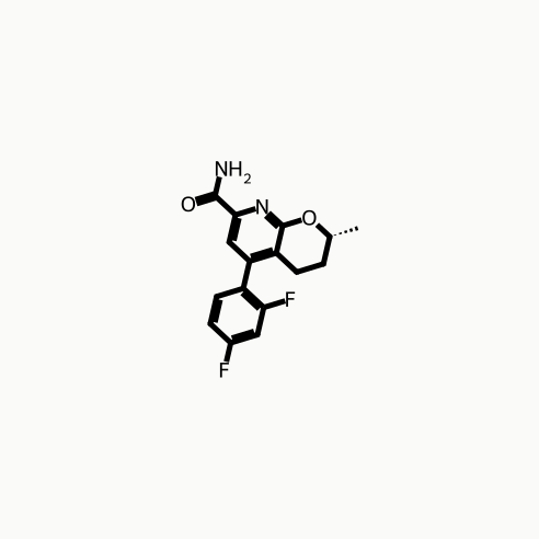 C[C@@H]1CCc2c(-c3ccc(F)cc3F)cc(C(N)=O)nc2O1